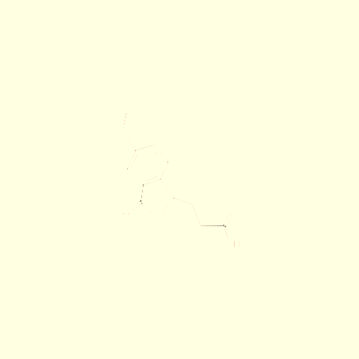 COc1ccc2c(c1)C(=O)OC2CCC(=O)O